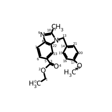 CCOC(=O)c1ccc2nc(C)n(Cc3ccc(OC)cc3)c2c1